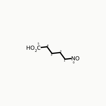 O=NCCCCC(=O)O